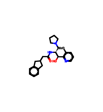 COc1cccnc1[C@@H](O)[C@@H](CN1CCCC1)NC(=O)CC1Cc2ccccc2C1